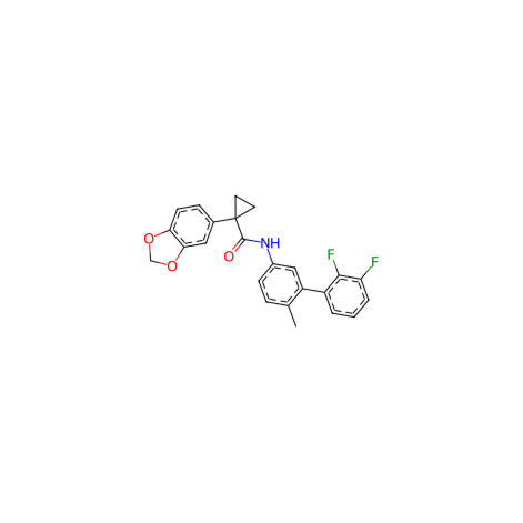 Cc1ccc(NC(=O)C2(c3ccc4c(c3)OCO4)CC2)cc1-c1cccc(F)c1F